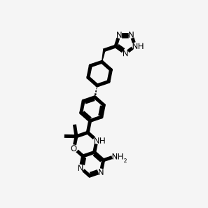 CC1(C)Oc2ncnc(N)c2NC1c1ccc([C@H]2CC[C@H](Cc3nn[nH]n3)CC2)cc1